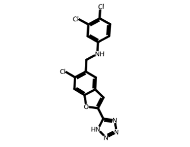 Clc1ccc(NCc2cc3cc(-c4nnn[nH]4)oc3cc2Cl)cc1Cl